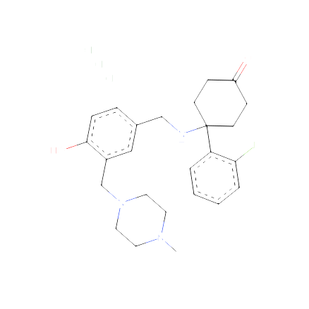 CN1CCN(Cc2cc(CNC3(c4ccccc4F)CCC(=O)CC3)ccc2O)CC1.Cl.Cl.Cl